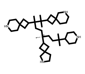 CC(C)(CC[C@](C)(CCC(C)(C1CC2(CCNCC2)C1)C(C)(C)C1CC2(CCCNC2)C1)C1CC2(CCNC2)C1)C1CCNCC1